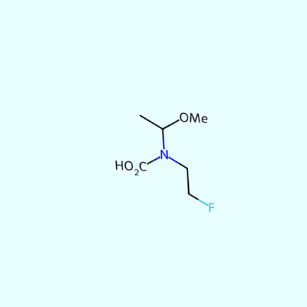 COC(C)N(CCF)C(=O)O